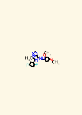 COc1ccc(CNc2nc(-c3cc(F)ccc3F)c(C)n3ncnc23)c(OC)c1